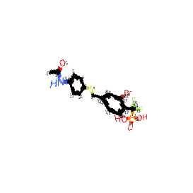 CC(=O)Nc1ccc(SCc2ccc(C(F)(F)P(=O)(O)O)c(Br)c2)cc1